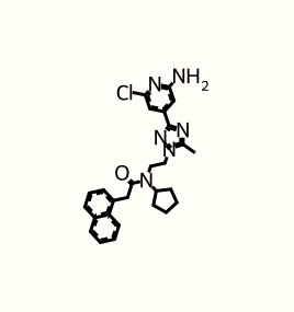 Cc1nc(-c2cc(N)nc(Cl)c2)nn1CCN(C(=O)Cc1cccc2ccccc12)C1CCCC1